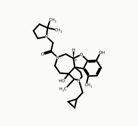 Cc1ccc(O)c2c1C13CCN(CC4CC4)C(C)C1(O)CCN(C(=O)CN1CCCC1(C)C)C[C@@H]3O2